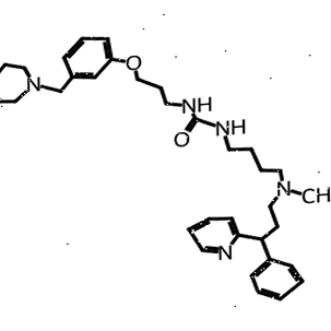 CN(CCCCNC(=O)NCCCOc1cccc(CN2CCCCC2)c1)CCC(c1ccccc1)c1ccccn1